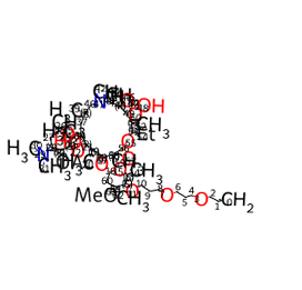 C=CCOCCCOCCCO[C@H]1[C@H](C)OC(O[C@H]2[C@H](C)[C@@H](O[C@@H]3O[C@H](C)C[C@H](N(C)C)[C@H]3OC(C)=O)[C@](C)(O)C[C@@H](C)CN(C)[C@@H](C)[C@H]3O[C@@H](O)C34O[C@]4(C)[C@@H](CC)OC(=O)[C@@H]2C)C[C@@]1(C)OC